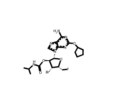 CC(C)NC(=O)O[C@@H]1[C@@H](Br)[C@@H](CF)O[C@H]1n1cnc2c(N)nc(OC3CCCC3)nc21